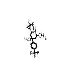 C[C@H]1CC(O)(c2ccc(C(F)(F)F)cc2)C[C@@H](C2CC2(F)F)N1